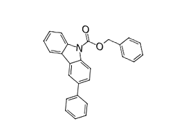 O=C(OCc1ccccc1)n1c2ccccc2c2cc(-c3ccccc3)ccc21